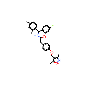 Cc1ccc(C(NC(=O)Cc2ccc(OCc3c(C)noc3C)cc2)c2ccc(F)cc2)c(C)c1